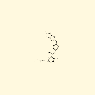 CNc1cnc(OCCOC)nc1N(C=O)Cc1ccc(CN2CC3CN(C)CC3C2)cc1